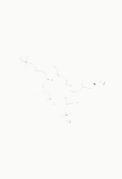 CCC(CCCN(CC(O)CC(C)(C)N)CC(O)CC(C)(C)N)CN(CC(O)CC(C)(C)N)CC(O)CC(C)(C)N